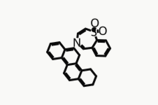 C1=c2ccc3c(c2CCC1)CC=c1ccccc1=3.O=S1(=O)C=CN=Cc2ccccc21